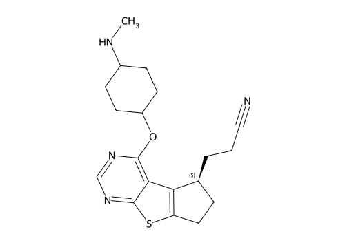 CNC1CCC(Oc2ncnc3sc4c(c23)[C@@H](CCC#N)CC4)CC1